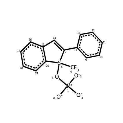 [O-][I+3]([O-])([O-])OS1(C(F)(F)F)C(c2ccccc2)=Cc2ccccc21